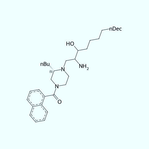 CCCCCCCCCCCCCCC(O)C(N)CN1CCN(C(=O)c2cccc3ccccc23)C[C@@H]1CCCC